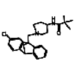 CC(C)(C)C(=O)NC1CCN(CC23CC(c4ccccc42)c2ccc(Cl)cc23)CC1